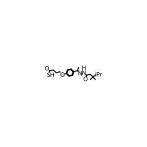 C/C(=N\NC(=O)CC(C)(C)C(C)C)c1ccc(OCCCC(=O)S)cc1